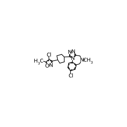 Cc1onc(C2CCC(c3nnc4n3-c3ccc(Cl)cc3CN(C)C4)CC2)c1Cl